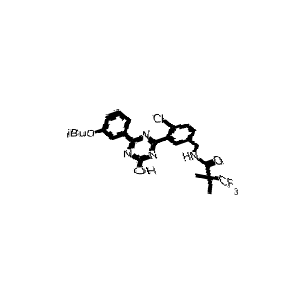 CC(C)COc1cccc(-c2nc(O)nc(-c3cc(CNC(=O)C(C)(C)C(F)(F)F)ccc3Cl)n2)c1